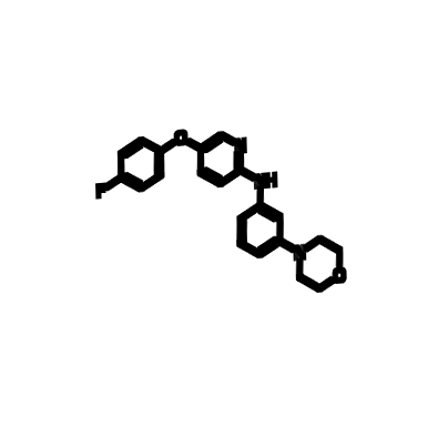 Fc1ccc(Oc2ccc(Nc3cccc(N4CCOCC4)c3)nc2)cc1